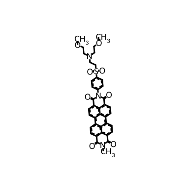 COCCN(CCOC)CCS(=O)(=O)c1ccc(N2C(=O)c3ccc4c5ccc6c7c(ccc(c8ccc(c3c48)C2=O)c75)C(=O)N(C)C6=O)cc1